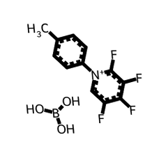 Cc1ccc(-[n+]2cc(F)c(F)c(F)c2F)cc1.OB(O)O